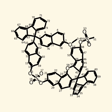 COc1ccc2cc(C3(c4ccc5cc(OS(=O)(=O)Oc6ccc7c8c(ccc7c6)C6(c7ccccc7-c7ccccc76)c6ccc7cc(OS(C)(=O)=O)ccc7c6O8)ccc5c4)c4ccccc4-c4ccccc43)ccc2c1